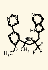 COc1ccc(-c2cncnc2)cc1C(C)(C)CC(O)(Cc1cc2ccncc2[nH]1)C(F)(F)F